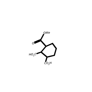 COC(=O)C1CCCC(C(=O)O)C1C(=O)O